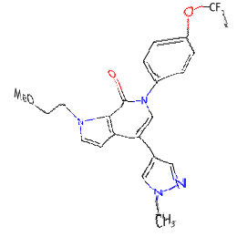 COCCn1ccc2c(-c3cnn(C)c3)cn(-c3ccc(OC(F)(F)F)cc3)c(=O)c21